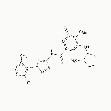 COc1c(N[C@H]2CCC[C@H]2C)cc(C(=O)Nc2nnc(-c3c(Cl)ccn3C)s2)oc1=O